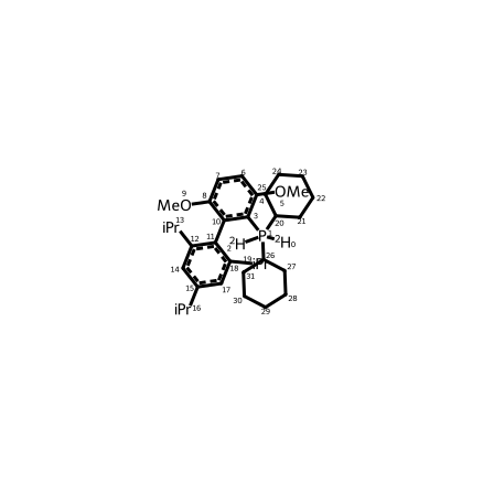 [2H]P([2H])(c1c(OC)ccc(OC)c1-c1c(C(C)C)cc(C(C)C)cc1C(C)C)(C1CCCCC1)C1CCCCC1